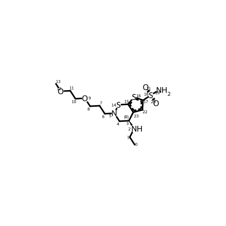 CCN[C@H]1CN(CCCOCCOC)Sc2sc(S(N)(=O)=O)cc21